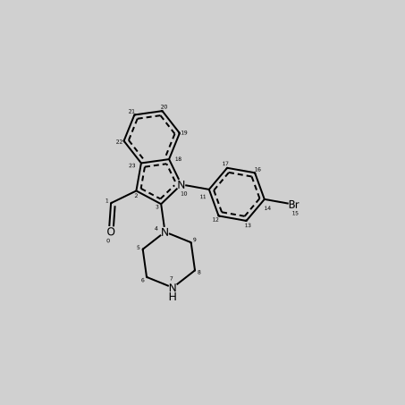 O=Cc1c(N2CCNCC2)n(-c2ccc(Br)cc2)c2ccccc12